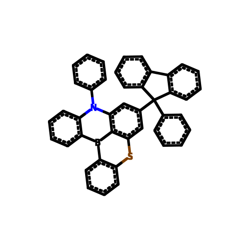 c1ccc(N2c3ccccc3B3c4ccccc4Sc4cc(C5(c6ccccc6)c6ccccc6-c6ccccc65)cc2c43)cc1